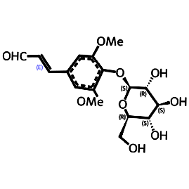 COc1cc(/C=C/C=O)cc(OC)c1O[C@@H]1O[C@H](CO)[C@@H](O)[C@H](O)[C@H]1O